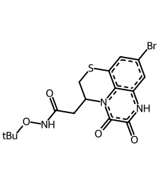 CC(C)(C)ONC(=O)CC1CSc2cc(Br)cc3[nH]c(=O)c(=O)n1c23